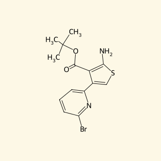 CC(C)(C)OC(=O)c1c(-c2cccc(Br)n2)csc1N